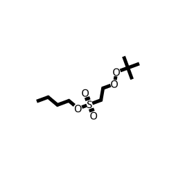 CCCCOS(=O)(=O)CCOOC(C)(C)C